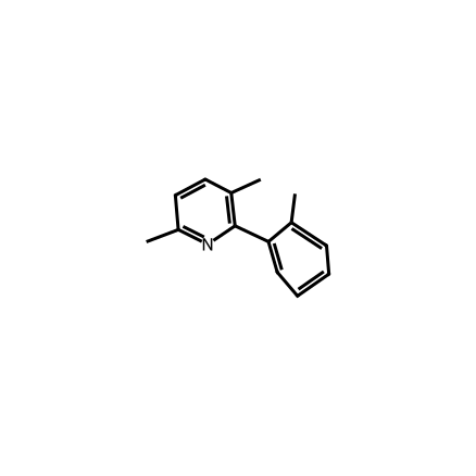 Cc1ccc(C)c(-c2ccccc2C)n1